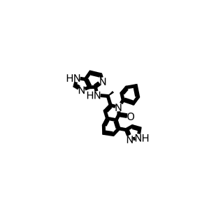 C[C@H](Nc1nccc2[nH]cnc12)c1cc2cccc(-c3cc[nH]n3)c2c(=O)n1-c1ccccc1